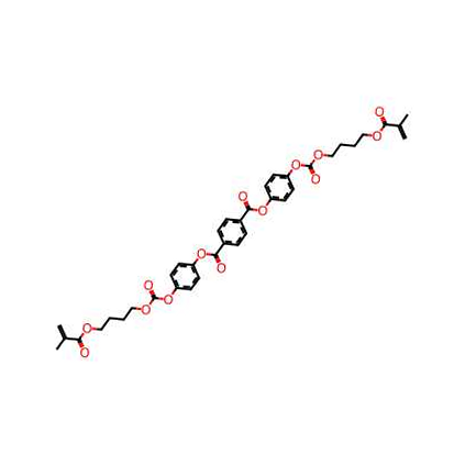 C=C(C)C(=O)OCCCCOC(=O)Oc1ccc(OC(=O)c2ccc(C(=O)Oc3ccc(OC(=O)OCCCCOC(=O)C(=C)C)cc3)cc2)cc1